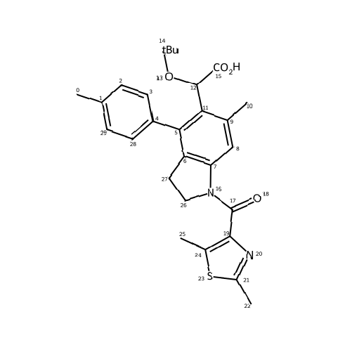 Cc1ccc(-c2c3c(cc(C)c2C(OC(C)(C)C)C(=O)O)N(C(=O)c2nc(C)sc2C)CC3)cc1